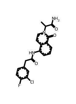 CC(C(N)=O)n1ccc2c(NC(=O)Cc3ccc(F)c(Cl)c3)cccc2c1=O